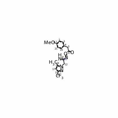 COc1ccc(CC(=O)O/N=C(\N)Cn2nc(C(F)(F)F)cc2C)cc1